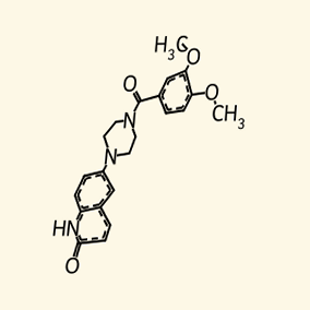 COc1ccc(C(=O)N2CCN(c3ccc4[nH]c(=O)ccc4c3)CC2)cc1OC